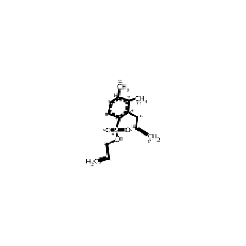 C=CCOS(=O)(=O)c1ccc(C)c(C)c1CC=C